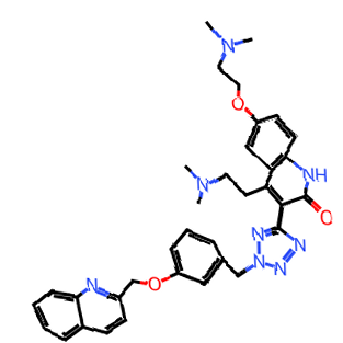 CN(C)CCOc1ccc2[nH]c(=O)c(-c3nnn(Cc4cccc(OCc5ccc6ccccc6n5)c4)n3)c(CCN(C)C)c2c1